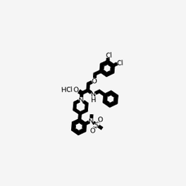 CN(c1ccccc1C1CCN(C(=O)C(COCc2ccc(Cl)c(Cl)c2)NCc2ccccc2)CC1)S(C)(=O)=O.Cl